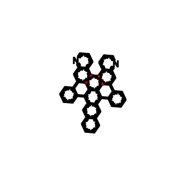 c1ccc(-c2c3ccccc3c(-c3ccccc3-c3ccc4cccnc4c3)c3cc4ccccc4cc23)c(-c2ccc3cccnc3c2)c1